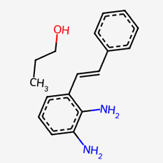 CCCO.Nc1cccc(C=Cc2ccccc2)c1N